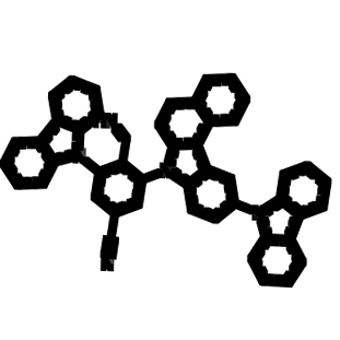 N#Cc1cc(-n2c3ccccc3c3ccccc32)c(C=N)c(-n2c3ccc(-n4c5ccccc5c5ccccc54)cc3c3c4ccccc4ccc32)c1